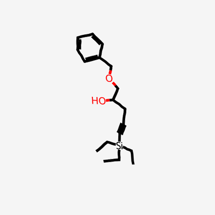 CC[Si](C#CCC(O)COCc1ccccc1)(CC)CC